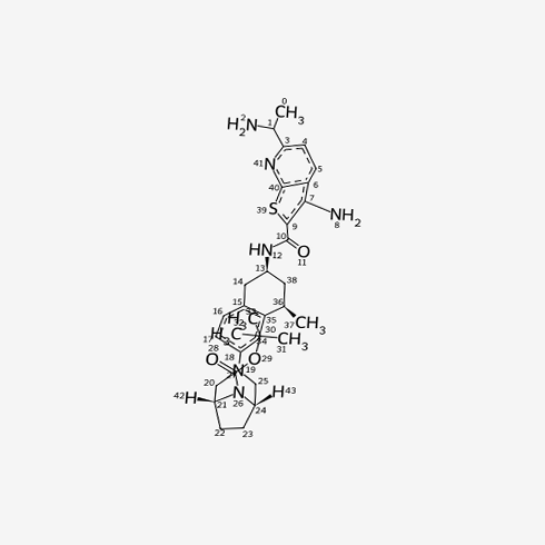 CC(N)c1ccc2c(N)c(C(=O)N[C@@H]3Cc4ccc(N5C[C@H]6CC[C@@H](C5)N6C(=O)OC(C)(C)C)cc4[C@H](C)C3)sc2n1